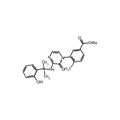 COC(=O)c1ccc(C)c(-n2ccnc(NC(C)(C)c3ccccc3O)c2=O)c1